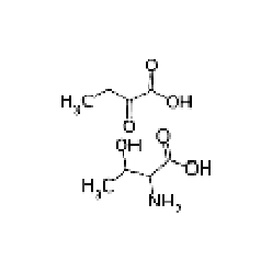 CC(O)C(N)C(=O)O.CCC(=O)C(=O)O